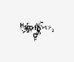 Cc1cc(-c2cnc3c(NCCC(F)(F)F)cc(Oc4cccc(F)c4)cn23)ccc1C(=O)NC1C[C@@H]1F